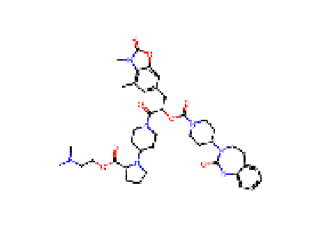 Cc1cc(C[C@@H](OC(=O)N2CCC(N3CCc4ccccc4NC3=O)CC2)C(=O)N2CCC(N3CCC[C@H]3C(=O)OCCN(C)C)CC2)cc2oc(=O)n(C)c12